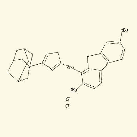 CC(C)(C)c1ccc2c(c1)Cc1c-2ccc(C(C)(C)C)[c]1[Zr+2][C]1=CC(C23CC4CC(CC(C4)C2)C3)=CC1.[Cl-].[Cl-]